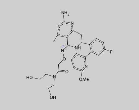 COc1cccc(-c2cc(F)ccc2C2Cc3nc(N)nc(C)c3/C(=N/OCC(=O)N(CCO)CCO)N2)n1